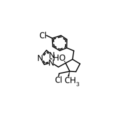 C[C@]1(CCl)CCC(Cc2ccc(Cl)cc2)[C@]1(O)Cn1cncn1